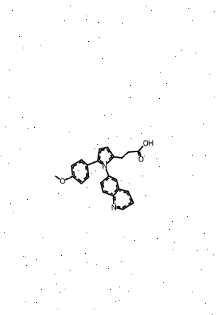 COc1ccc(-c2ccc(CCC(=O)O)n2-c2ccc3ncccc3c2)cc1